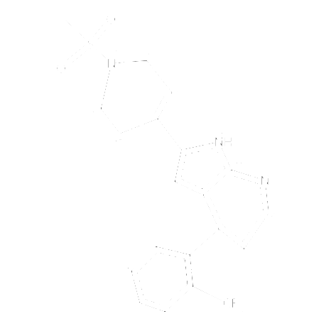 CS(=O)(=O)N1CC=C(c2cc3c(-c4ccccc4C(F)(F)F)ccnc3[nH]2)CC1